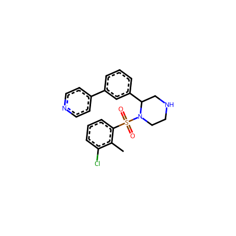 Cc1c(Cl)cccc1S(=O)(=O)N1CCNCC1c1cccc(-c2ccncc2)c1